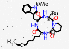 CC=C=CCCCC[C@@H]1NC(=O)[C@H]2CCCCN2C(=O)[C@H](C(C)CC)NC(=O)[C@H](Cc2cn(OC)c3ccccc23)NC1=O